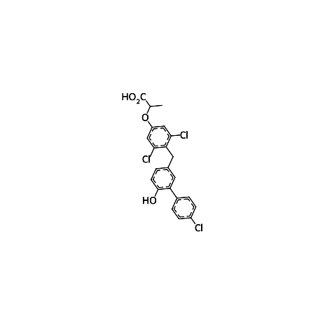 CC(Oc1cc(Cl)c(Cc2ccc(O)c(-c3ccc(Cl)cc3)c2)c(Cl)c1)C(=O)O